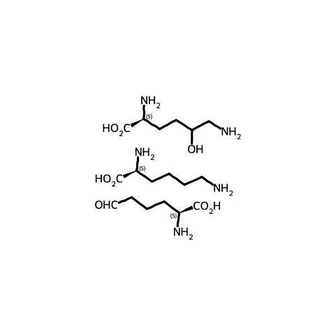 NCC(O)CC[C@H](N)C(=O)O.NCCCC[C@H](N)C(=O)O.N[C@@H](CCCC=O)C(=O)O